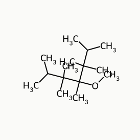 COC(C)(C(C)(C)C(C)C)C(C)(C)C(C)C